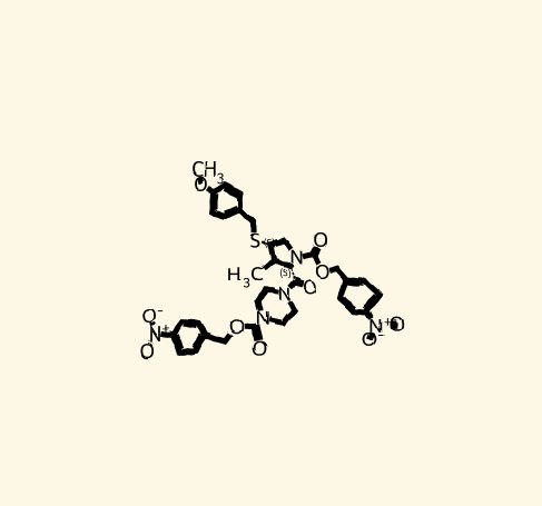 COc1ccc(CS[C@@H]2CN(C(=O)OCc3ccc([N+](=O)[O-])cc3)[C@H](C(=O)N3CCN(C(=O)OCc4ccc([N+](=O)[O-])cc4)CC3)C2C)cc1